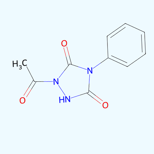 CC(=O)n1[nH]c(=O)n(-c2ccccc2)c1=O